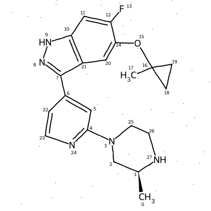 C[C@H]1CN(c2cc(-c3n[nH]c4cc(F)c(OC5(C)CC5)cc34)ccn2)CCN1